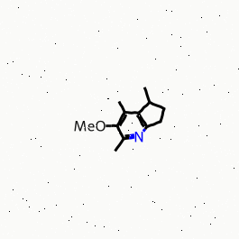 COc1c(C)nc2c(c1C)C(C)CC2